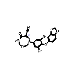 N#C/C1=N/N(c2cc(Br)c(Oc3ccc4c(c3)OCO4)c(Br)c2)COCNC1=O